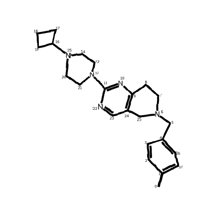 Cc1ccc(CN2CCc3nc(N4CCN(C5CCC5)CC4)ncc3C2)cc1